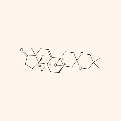 CC1(C)COC2(CC[C@@]34O[C@@]3(CC[C@@H]3C4=CCC4(C)C(=O)CC[C@@H]34)C2)OC1